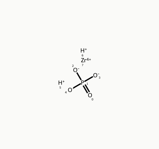 O=P([O-])([O-])[O-].[H+].[H+].[Zr+4]